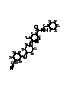 Cc1cc(C(=O)NCc2ccccc2)nnc1N1CCC(Oc2cccc(C#N)c2)CC1